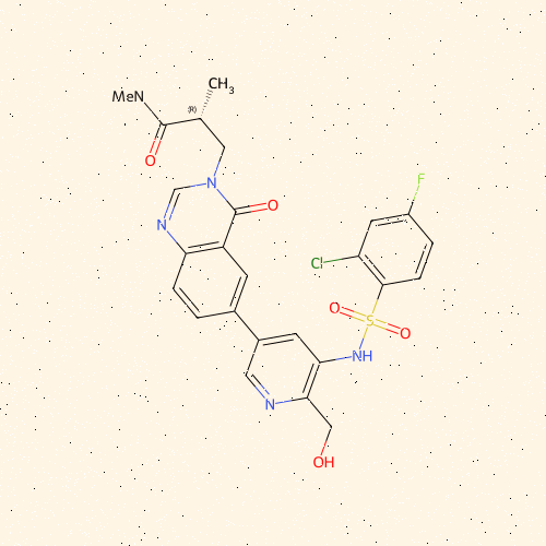 CNC(=O)[C@H](C)Cn1cnc2ccc(-c3cnc(CO)c(NS(=O)(=O)c4ccc(F)cc4Cl)c3)cc2c1=O